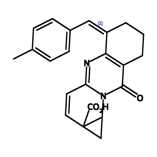 Cc1ccc(/C=C2/CCCc3c2nc2n(c3=O)C3CC3(C(=O)O)C=C2)cc1